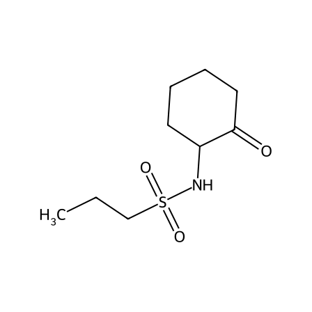 CCCS(=O)(=O)NC1CCCCC1=O